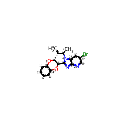 C=CC(C)n1c(C2COc3ccccc3O2)nc2ncc(Br)cc21